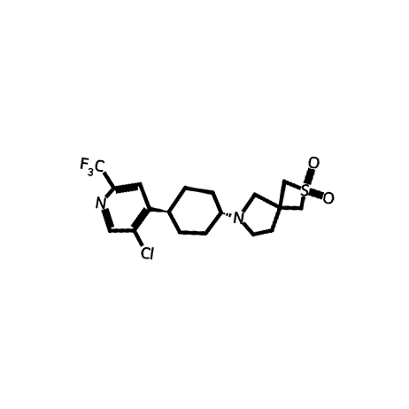 O=S1(=O)CC2(CCN([C@H]3CC[C@H](c4cc(C(F)(F)F)ncc4Cl)CC3)C2)C1